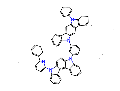 C1=CCCC(c2cccc(-n3c4ccccc4c4c5c6ccccc6n(-c6cccc(-n7c8ccccc8c8cc9c(cc87)c7c(n9-c8ccccc8)CCC=C7)c6)c5ccc43)n2)=C1